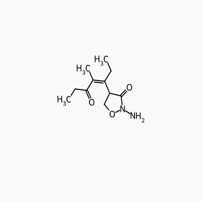 CCC(=O)C(C)=C(CC)C1CON(N)C1=O